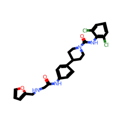 O=C(CNCc1ccco1)Nc1ccc(C2CCN(C(=O)Nc3c(Cl)cccc3Cl)CC2)cc1